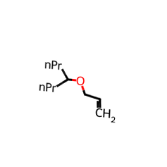 C=CCOC(CCC)CCC